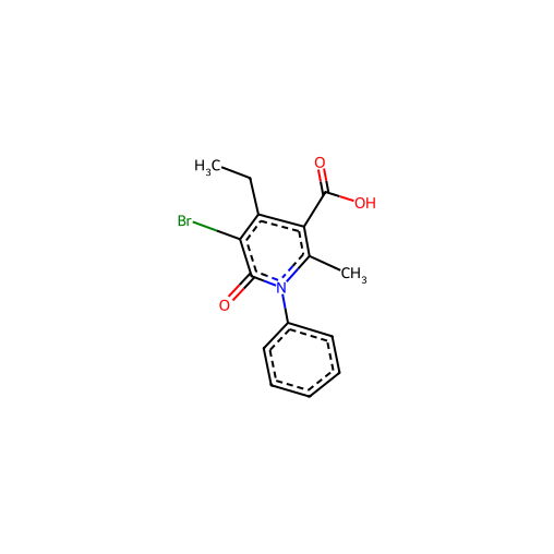 CCc1c(C(=O)O)c(C)n(-c2ccccc2)c(=O)c1Br